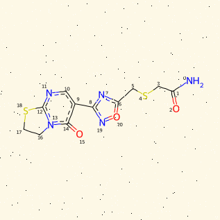 NC(=O)CSCc1nc(-c2cnc3n(c2=O)CCS3)no1